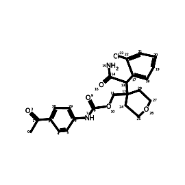 CC(=O)c1ccc(NC(=O)OCC2(C(C(N)=O)c3ccccc3Cl)CCOCC2)cc1